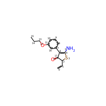 C=CC1SC(N)=C(c2cccc(OCCC)c2)C1=O